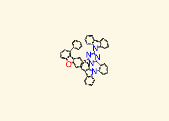 c1ccc(-c2cccc3oc4ccc(-c5nc(-c6ccccc6-n6c7ccccc7c7ccccc76)nc(-n6c7ccccc7c7ccccc76)n5)cc4c23)cc1